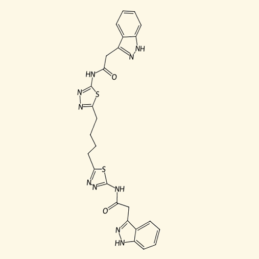 O=C(Cc1n[nH]c2ccccc12)Nc1nnc(CCCCc2nnc(NC(=O)Cc3n[nH]c4ccccc34)s2)s1